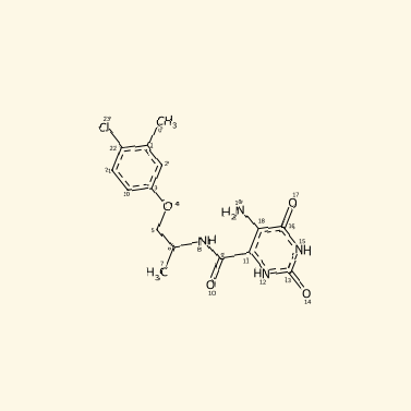 Cc1cc(OCC(C)NC(=O)c2[nH]c(=O)[nH]c(=O)c2N)ccc1Cl